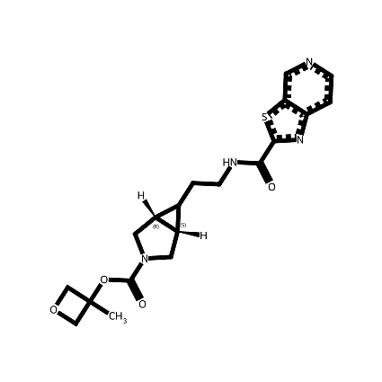 CC1(OC(=O)N2C[C@@H]3C(CCNC(=O)c4nc5ccncc5s4)[C@@H]3C2)COC1